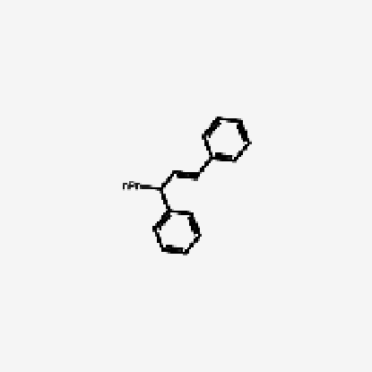 CCCC(/C=C/c1ccccc1)c1ccccc1